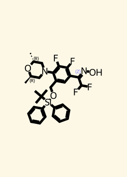 C[C@@H]1CN(c2c(CO[Si](c3ccccc3)(c3ccccc3)C(C)(C)C)cc(/C(=N/O)C(F)F)c(F)c2F)C[C@@H](C)O1